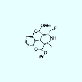 COC(=O)C1=C(CF)NC(C)=C(C(=O)OC(C)C)C1c1ccccc1C